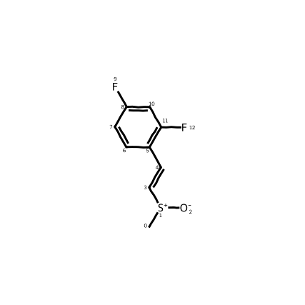 C[S+]([O-])C=Cc1ccc(F)cc1F